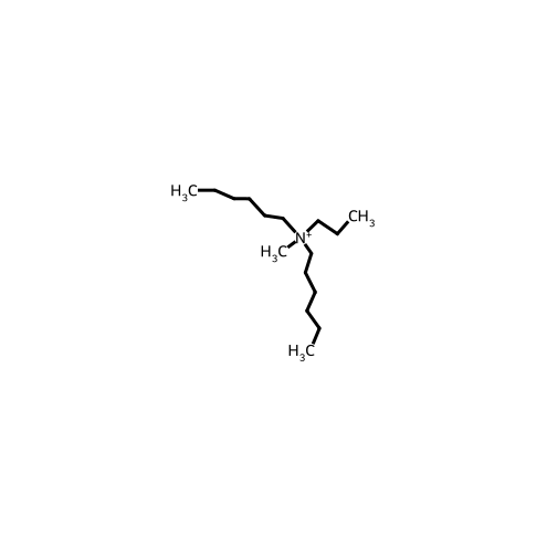 CCCCCC[N+](C)(CCC)CCCCCC